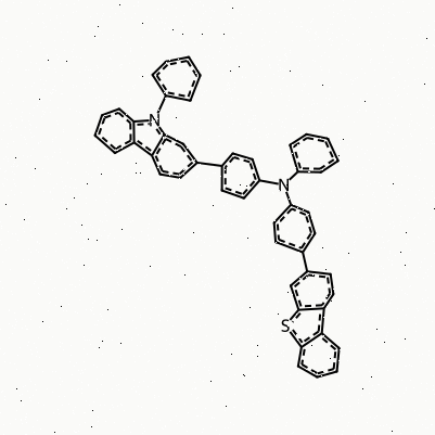 c1ccc(N(c2ccc(-c3ccc4c(c3)sc3ccccc34)cc2)c2ccc(-c3ccc4c5ccccc5n(-c5ccccc5)c4c3)cc2)cc1